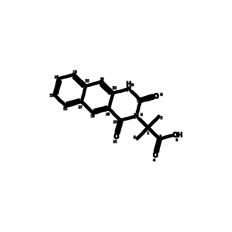 CC(C)(C(=O)O)n1c(=O)[nH]c2cc3ccccc3cc2c1=O